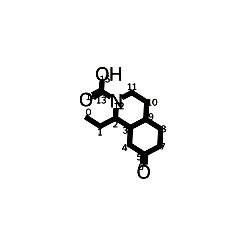 CCC1C2CC(=O)CCC2CCN1C(=O)O